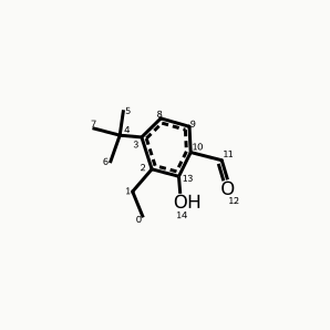 CCc1c(C(C)(C)C)ccc(C=O)c1O